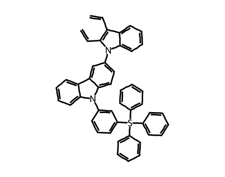 C=Cc1c(C=C)n(-c2ccc3c(c2)c2ccccc2n3-c2cccc(S(c3ccccc3)(c3ccccc3)c3ccccc3)c2)c2ccccc12